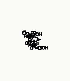 CSCC[C@H](NC(=O)[C@H](Cc1ccccc1)NC(=O)CNC(=O)[C@H](C)NC(=O)[C@@H](N)Cc1ccc(O)cc1)C(=O)O